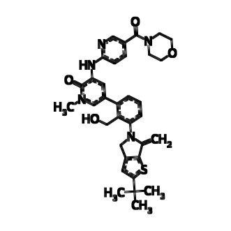 C=C1c2sc(C(C)(C)C)cc2CN1c1cccc(-c2cc(Nc3ccc(C(=O)N4CCOCC4)cn3)c(=O)n(C)c2)c1CO